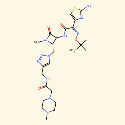 CN1CCN(CC(=O)NCc2cn(C[C@H]3[C@H](NC(=O)C(=NOC(C)(C)C(=O)O)c4csc(N)n4)C(=O)N3S(=O)(=O)O)nn2)CC1